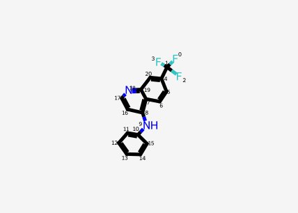 FC(F)(F)c1ccc2c(Nc3ccccc3)ccnc2c1